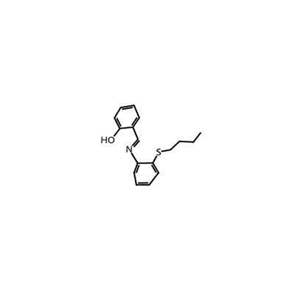 CCCCSc1ccccc1N=Cc1ccccc1O